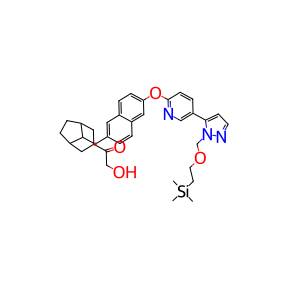 C[Si](C)(C)CCOCn1nccc1-c1ccc(Oc2ccc3cc(CC4C5CCC4CC(C(=O)CO)C5)ccc3c2)nc1